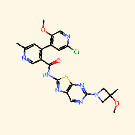 COc1cnc(Cl)cc1-c1cc(C)ncc1C(=O)Nc1nc2cnc(N3CC(C)(OC)C3)nc2s1